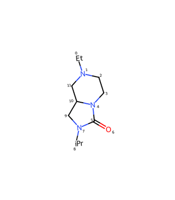 CCN1CCN2C(=O)N(C(C)C)CC2C1